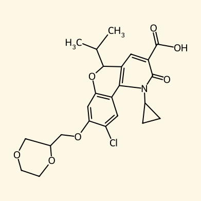 CC(C)C1Oc2cc(OCC3COCCO3)c(Cl)cc2-c2c1cc(C(=O)O)c(=O)n2C1CC1